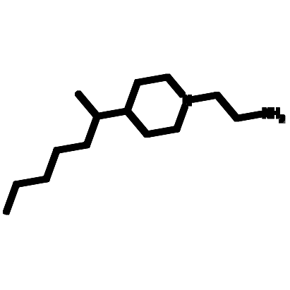 CCCCCC(C)C1CCN(CCN)CC1